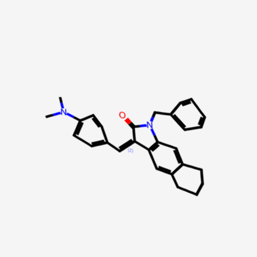 CN(C)c1ccc(/C=C2\C(=O)N(Cc3ccccc3)c3cc4c(cc32)CCCC4)cc1